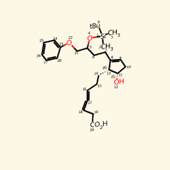 CC(C)(C)[Si](C)(C)OC(CCC1=CC[C@H](O)[C@@H]1CCC=C=CCC(=O)O)COc1ccccc1